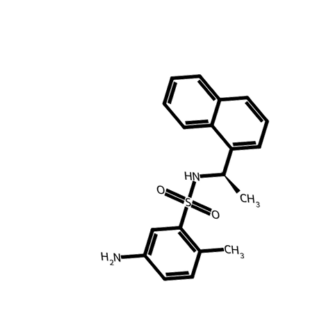 Cc1ccc(N)cc1S(=O)(=O)N[C@H](C)c1cccc2ccccc12